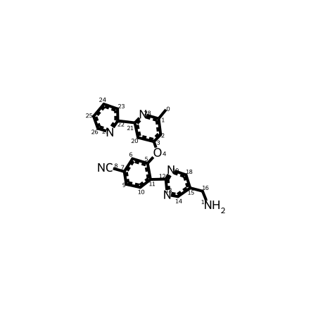 Cc1cc(Oc2cc(C#N)ccc2-c2ncc(CN)cn2)cc(-c2ccccn2)n1